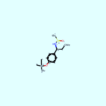 COC[C@H](N[S@+]([O-])C(C)(C)C)c1ccc(O[Si](C)(C)C(C)(C)C)cc1